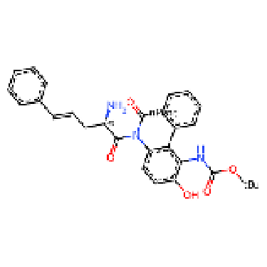 CCCCCC(=O)N(C(=O)[C@H](N)CC=Cc1ccccc1)c1ccc(O)c(NC(=O)OC(C)(C)C)c1-c1ccccc1